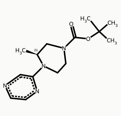 C[C@H]1CN(C(=O)OC(C)(C)C)CCN1c1cnccn1